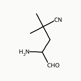 CC(C)(C#N)CC(N)C=O